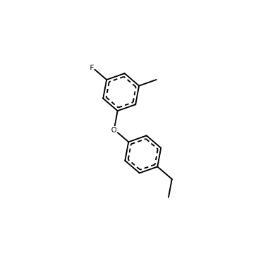 CCc1ccc(Oc2cc(C)cc(F)c2)cc1